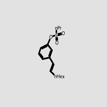 CCCCCCC=Cc1cccc(OS(=O)(=O)CCC)c1